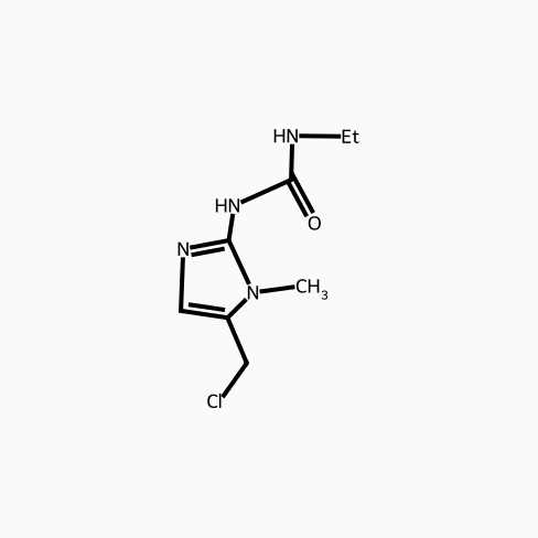 CCNC(=O)Nc1ncc(CCl)n1C